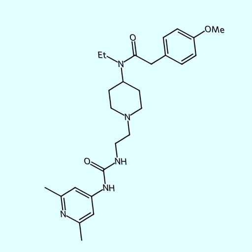 CCN(C(=O)Cc1ccc(OC)cc1)C1CCN(CCNC(=O)Nc2cc(C)nc(C)c2)CC1